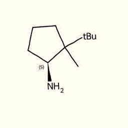 CC(C)(C)C1(C)CCC[C@@H]1N